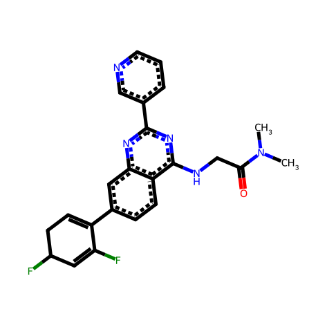 CN(C)C(=O)CNc1nc(-c2cccnc2)nc2cc(C3=CCC(F)C=C3F)ccc12